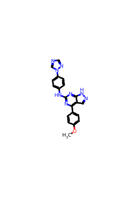 COc1ccc(-c2nc(Nc3ccc(-n4cncn4)cc3)nc3[nH]ncc23)cc1